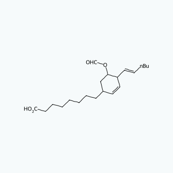 CCCC/C=C/C1C=CC(CCCCCCCC(=O)O)CC1OC=O